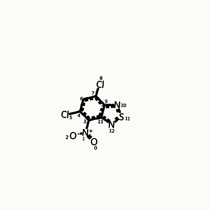 O=[N+]([O-])c1c(Cl)cc(Cl)c2nsnc12